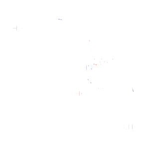 CCCCCCCC/C=C\CCCCCCCC(=O)OCC(COC(=O)CCCCCCC/C=C\CCCCCCCC)OC(=O)NCCN(CCO)CCO